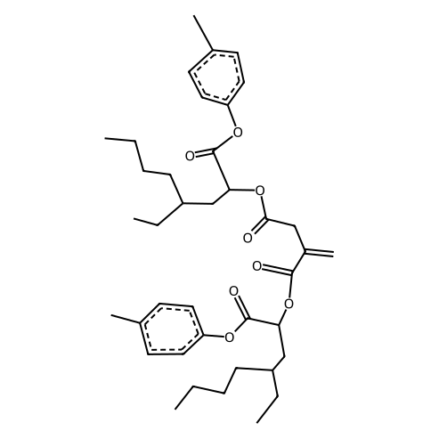 C=C(CC(=O)OC(CC(CC)CCCC)C(=O)Oc1ccc(C)cc1)C(=O)OC(CC(CC)CCCC)C(=O)Oc1ccc(C)cc1